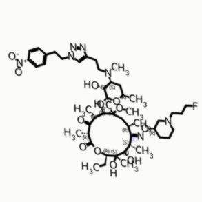 CC[C@H]1OC(=O)[C@H](C)C(=O)[C@H](C)[C@@H](O[C@@H]2O[C@H](C)C[C@H](N(C)CCc3cn(CCc4ccc([N+](=O)[O-])cc4)nn3)[C@H]2O)[C@](C)(OC)C[C@@H](C)/C(=N\O[C@@H]2CCCN(CCCF)C2)[C@H](C)[C@@H](O)[C@]1(C)O